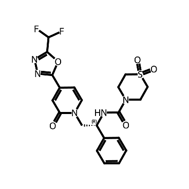 O=C(N[C@@H](Cn1ccc(-c2nnc(C(F)F)o2)cc1=O)c1ccccc1)N1CCS(=O)(=O)CC1